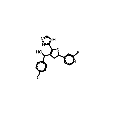 OC(C1=C(c2nnc[nH]2)SC(c2ccnc(F)c2)C1)c1ccc(Cl)cc1